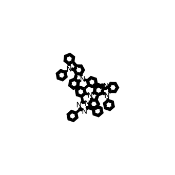 N#Cc1ccc(-n2c3ccccc3c3c2ccc2c4ccccc4n(-c4ccccc4)c23)c(-c2cccc(-c3nc(-c4ccccc4)nc(-c4ccccc4)n3)c2-n2c3ccccc3c3c2ccc2c4ccccc4n(-c4ccccc4)c23)c1